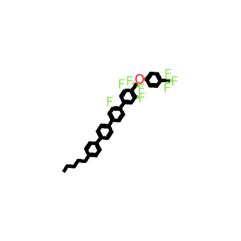 CCCCCc1ccc(-c2ccc(-c3ccc(-c4cc(F)c(C(F)(F)Oc5ccc(C(F)(F)F)cc5)c(F)c4)c(F)c3)cc2)cc1